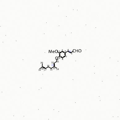 COc1cc(/C=C/C=O)ccc1OC/C=C(\C)CCC=C(C)C